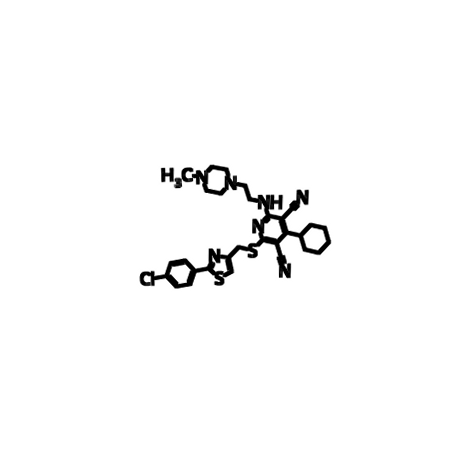 CN1CCN(CCNc2nc(SCc3csc(-c4ccc(Cl)cc4)n3)c(C#N)c(C3CCCCC3)c2C#N)CC1